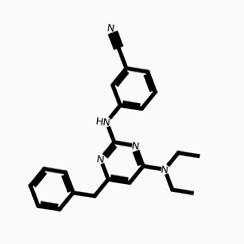 CCN(CC)c1cc(Cc2ccccc2)nc(Nc2cccc(C#N)c2)n1